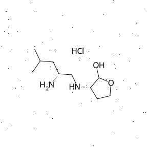 CC(C)C[C@@H](N)CN[C@H]1CCOC1O.Cl